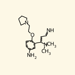 CN(C)/C(=C\C=N)c1cc(N)ccc1OCCN1CCCC1